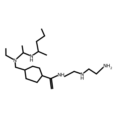 C=C(NCCNCCN)C1CCC(CN(CC)C(C)NC(C)CCC)CC1